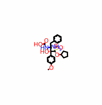 COc1ccc([C@](O)(C(OC2CCCC2)=S(=O)=O)[C@](N)(Cc2ccccc2)NC(=O)O)cc1